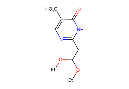 CCOC(Cc1ncc(C(=O)O)c(=O)[nH]1)OCC